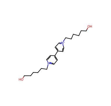 OCCCCCC[n+]1ccc(-c2cc[n+](CCCCCCO)cc2)cc1